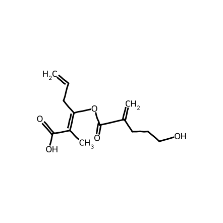 C=CCC(OC(=O)C(=C)CCCO)=C(C)C(=O)O